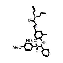 C=CCN(CC=C)C(=O)/C=C/c1cc(C)c(NC(c2cccnc2)S(=O)(=O)c2ccc(OC)cc2)c(C(=O)O)c1